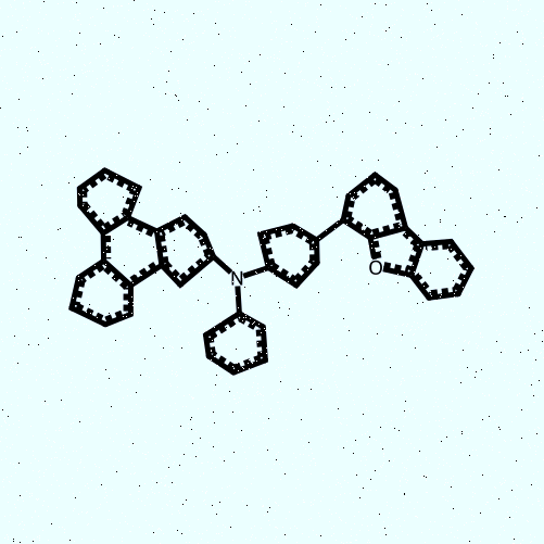 c1ccc(N(c2ccc(-c3cccc4c3oc3ccccc34)cc2)c2ccc3c4ccccc4c4ccccc4c3c2)cc1